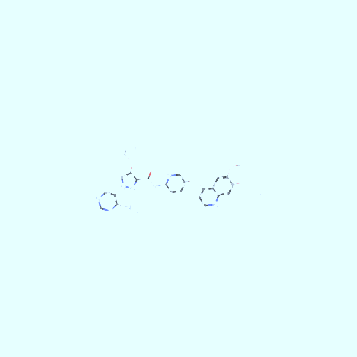 CCOc1cn(-c2cncnc2N)nc1C(=O)Nc1ccc(Oc2ccnc3cc(OC)c(OC)cc23)cn1